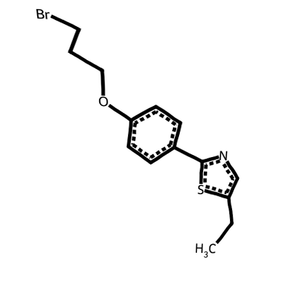 CCc1cnc(-c2ccc(OCCCBr)cc2)s1